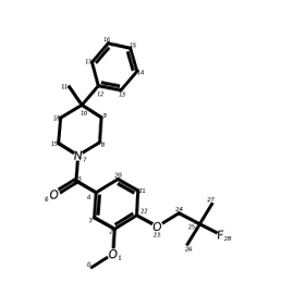 COc1cc(C(=O)N2CCC(C)(c3ccccc3)CC2)ccc1OCC(C)(C)F